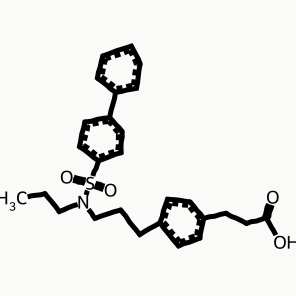 CCCN(CCCc1ccc(CCC(=O)O)cc1)S(=O)(=O)c1ccc(-c2ccccc2)cc1